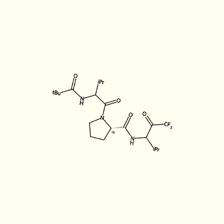 CC(C)C(NC(=O)C(C)(C)C)C(=O)N1CCC[C@H]1C(=O)NC(C(=O)C(F)(F)F)C(C)C